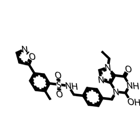 CCn1cnc2c1C(=O)NC(O)N2Cc1ccc(CNS(=O)(=O)c2cc(-c3ccno3)ccc2C)cc1